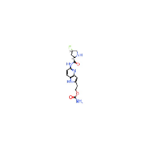 NC(=O)OCCc1cc2nc(NC(=O)[C@H]3C[C@@H](F)CN3)ccc2[nH]1